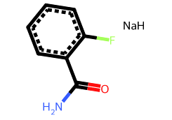 NC(=O)c1ccccc1F.[NaH]